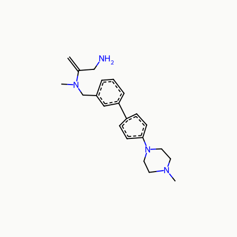 C=C(CN)N(C)Cc1cccc(-c2ccc(N3CCN(C)CC3)cc2)c1